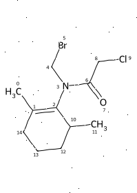 CC1=C(N(CBr)C(=O)CCl)C(C)CCC1